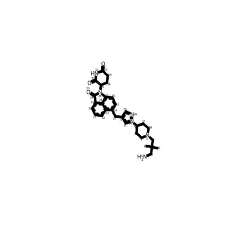 CC(C)(CN)CN1CCC(n2cc(Cc3ccc4c5c(cccc35)C(=O)N4C3CCC(=O)NC3=O)cn2)CC1